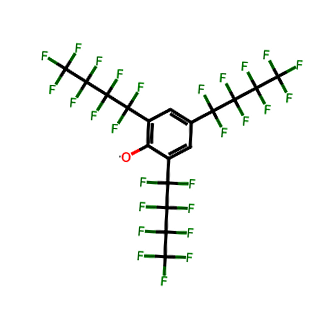 [O]c1c(C(F)(F)C(F)(F)C(F)(F)C(F)(F)F)cc(C(F)(F)C(F)(F)C(F)(F)C(F)(F)F)cc1C(F)(F)C(F)(F)C(F)(F)C(F)(F)F